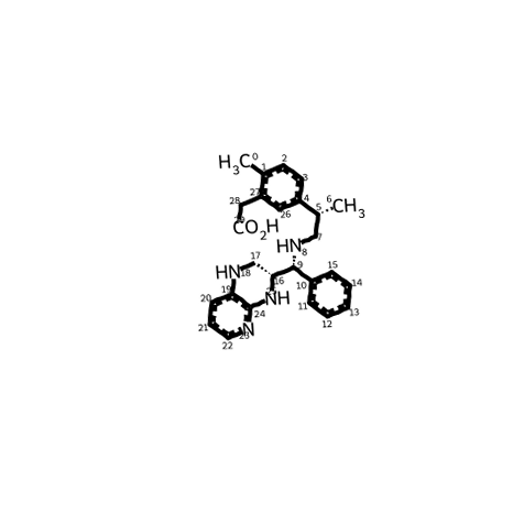 Cc1ccc([C@H](C)CN[C@H](c2ccccc2)[C@H]2CNc3cccnc3N2)cc1CC(=O)O